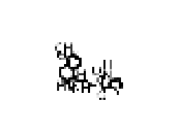 COc1cccc2c1CC[C@H]1CNC(CCn3c(=O)[nH]c4ccsc4c3=O)[C@@H]21